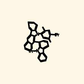 Cc1cc(-n2c3ccccc3c3cc4ccccc4c(-c4cccc5c6ccccc6n(C(C)C)c45)c32)c(C)cc1C(C)C